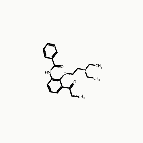 CCC(=O)c1cccc(NC(=O)c2ccccc2)c1OCCN(CC)CC